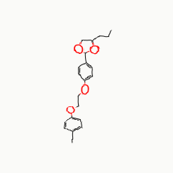 CCCC1COC(c2ccc(OCCOc3ccc(C)cc3)cc2)O1